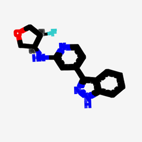 F[C@H]1COC[C@@H]1Nc1cc(-c2n[nH]c3ccccc23)ccn1